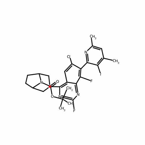 Cc1cc(C)c(I)c(-c2c(Cl)cc3c(N4CC5CCC(C4)N5C(=O)OC(C)(C)C)nc(F)nc3c2F)n1